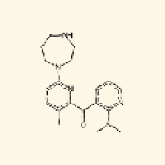 Cc1ccc(N2CCCNCC2)nc1C(=O)c1cccnc1N(C)C